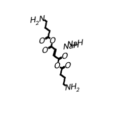 NCCCC(=O)OC(=O)/C=C/C(=O)OC(=O)CCCN.[NaH].[NaH]